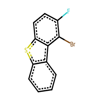 Fc1ccc2sc3ccccc3c2c1Br